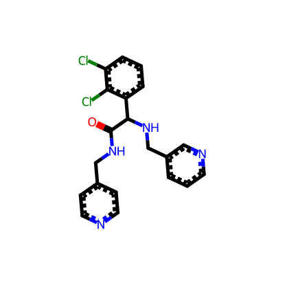 O=C(NCc1ccncc1)C(NCc1cccnc1)c1cccc(Cl)c1Cl